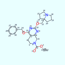 CC(C)(C)OC(=O)N1CCc2c(nc(OCC34CCCN3CCC4)nc2OCc2ccccc2)C1